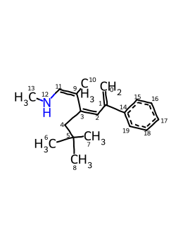 C=C(/C=C(CC(C)(C)C)\C(C)=C/NC)c1ccccc1